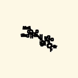 CSCC[C@H](NC(=O)OC(C)(C)C)C(=O)NCCNc1nonc1-c1noc(=O)n1-c1ccc(F)c(Br)c1